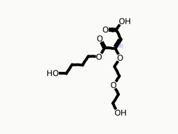 O=C(O)/C=C(/OCCOCCO)C(=O)OCCCCO